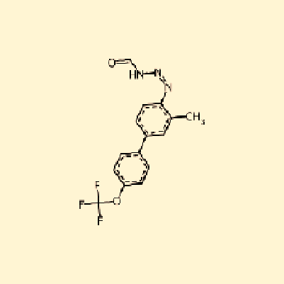 Cc1cc(-c2ccc(OC(F)(F)F)cc2)ccc1/N=N\NC=O